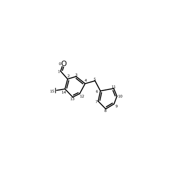 O=Cc1cc(Cc2ccccc2)ccc1I